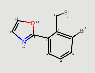 BrCc1c(Br)cccc1-c1ncco1